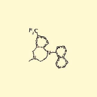 CN1CCN(c2cccc3ccccc23)c2ccc(C(F)(F)F)cc2C1